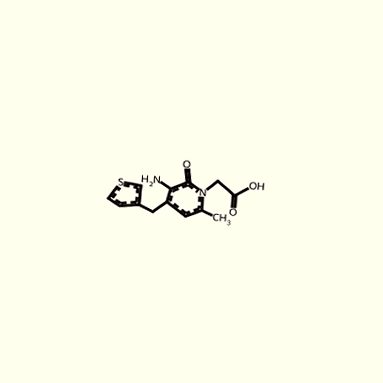 Cc1cc(Cc2ccsc2)c(N)c(=O)n1CC(=O)O